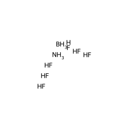 B.F.F.F.F.F.F.N